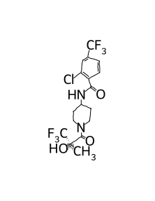 C[C@@](O)(C(=O)N1CCC(NC(=O)c2ccc(C(F)(F)F)cc2Cl)CC1)C(F)(F)F